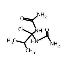 CC(C)C(Cl)(NC(N)=O)NC(N)=O